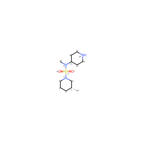 C[C@@H]1CCCN(S(=O)(=O)N(C)C2CCNCC2)C1